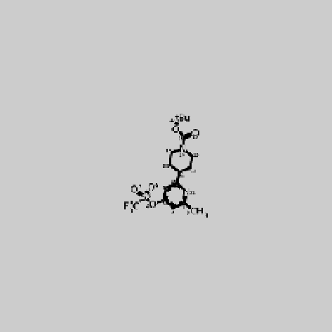 Cc1cc(OS(=O)(=O)C(F)(F)F)cc(C2CCN(C(=O)OC(C)(C)C)CC2)n1